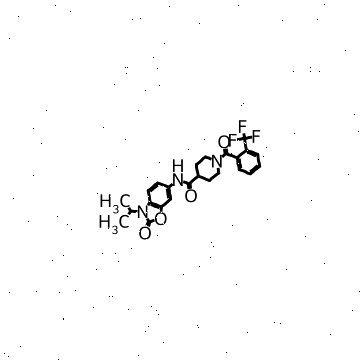 CC(C)n1c(=O)oc2cc(NC(=O)C3CCN(C(=O)c4ccccc4C(F)(F)F)CC3)ccc21